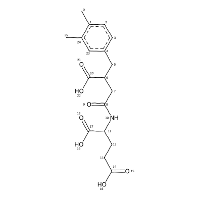 Cc1ccc(CC(CC(=O)NC(CCC(=O)O)C(=O)O)C(=O)O)cc1C